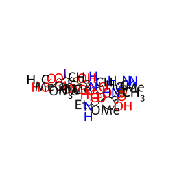 CCN[C@H]1CO[C@@H](O[C@H]2[C@H](O[C@H]3C#CC=CC#C[C@]4(O)CC(=O)C(NC(=O)OC)=C3/C4=C\CSSC(C)(C)c3cccnc3N)O[C@H](C)[C@@H](NO[C@H]3C[C@H](O)[C@H](SC(=O)c4c(C)c(I)c(O[C@@H]5O[C@@H](C)[C@H](O)[C@@H](OC)[C@H]5O)c(OC)c4OC)[C@@H](C)O3)[C@@H]2O)C[C@@H]1OC